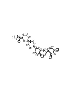 CC(Nc1cc(C2CCN([C@@H]3CCC[C@H](C(N)=O)C3)CC2)ccc1Cl)c1ccc(Cl)cc1Cl